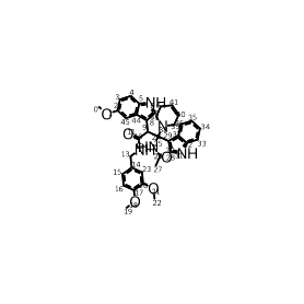 COc1ccc2[nH]cc(C(C(=O)NCc3ccc(OC)c(OC)c3)C(NC(C)=O)(c3c[nH]c4ccccc34)N3CC=CCC3)c2c1